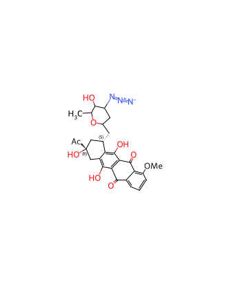 COc1cccc2c1C(=O)c1c(O)c3c(c(O)c1C2=O)C[C@@](O)(C(C)=O)C[C@@H]3CC1CC(N=[N+]=[N-])C(O)C(C)O1